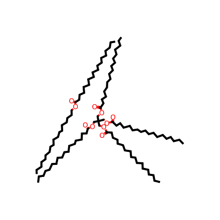 CCCCCCCCCCCCCCCCCC(=O)OCC(COC(=O)CCCCCCCCCCCCCCCCC)(COC(=O)CCCCCCCCCCCCCCCCC)COC(=O)CCCCCCCCCCCCCCCCC.CCCCCCCCCCCCCCCCCCOC(=O)CCCCCCCCCCCCCCCCC